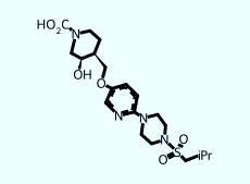 CC(C)CS(=O)(=O)N1CCN(c2ccc(OC[C@@H]3CCN(C(=O)O)C[C@@H]3O)cn2)CC1